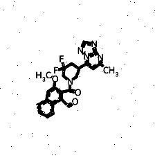 COc1cc2ccccc2c(C=O)c1C(=O)N1CC(c2cc(C)nc3ncnn23)CC(F)(F)C1